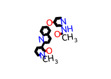 CC(=O)Nc1cc(Oc2ccc3nc(-c4cccn(C)c4=O)ccc3c2)ccn1